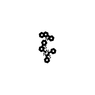 c1ccc(-c2nc(-c3cccc4c3sc3cc(-n5c6ccccc6c6ccc7ccccc7c65)ccc34)nc3c2sc2ccccc23)cc1